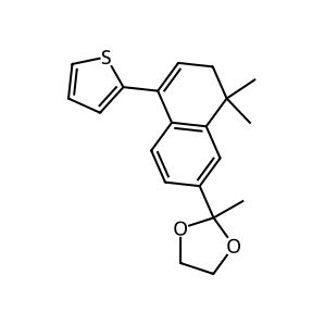 CC1(C)CC=C(c2cccs2)c2ccc(C3(C)OCCO3)cc21